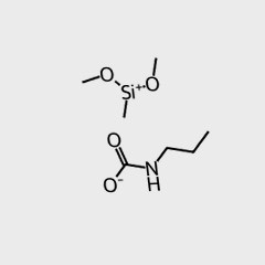 CCCNC(=O)[O-].CO[Si+](C)OC